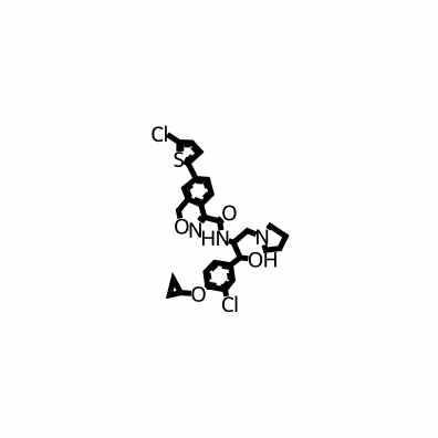 O=C(NC(CN1CCCC1)C(O)c1ccc(OC2CC2)c(Cl)c1)C1=NOCc2cc(-c3ccc(Cl)s3)ccc21